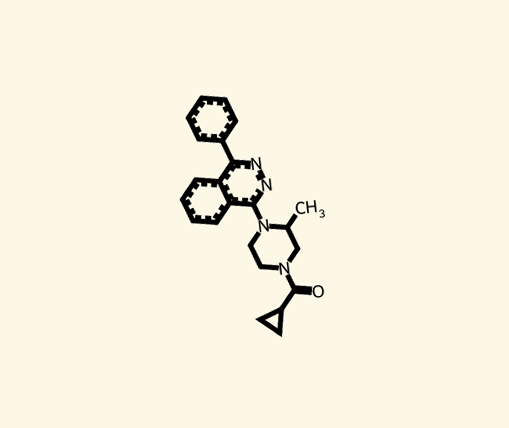 CC1CN(C(=O)C2CC2)CCN1c1nnc(-c2ccccc2)c2ccccc12